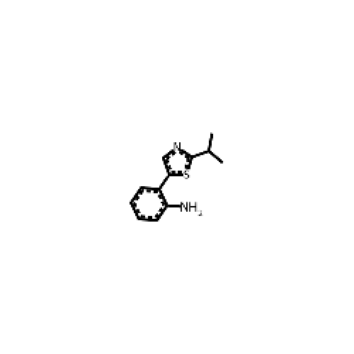 CC(C)c1ncc(-c2ccccc2N)s1